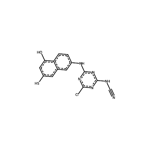 N#CNc1nc(Cl)nc(Nc2ccc3c(O)cc(S)cc3c2)n1